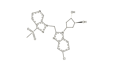 CS(=O)(=O)c1nn(Cc2nc3cc(Cl)ccc3n2C2C[C@H](O)[C@@H](O)C2)c2cnccc12